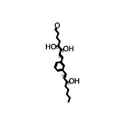 CCCCC[C@@H](O)/C=C/c1cccc(/C=C/[C@@H](O)[C@@H](O)CCCC=O)c1